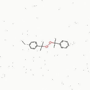 CCc1ccc(C(C)(C)OOC(C)(C)c2ccccc2)cc1